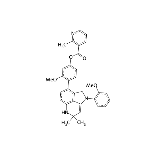 COc1cc(OC(=O)c2cccnc2C)ccc1-c1ccc2c3c1CN(c1ccccc1OC)C3=CC(C)(C)N2